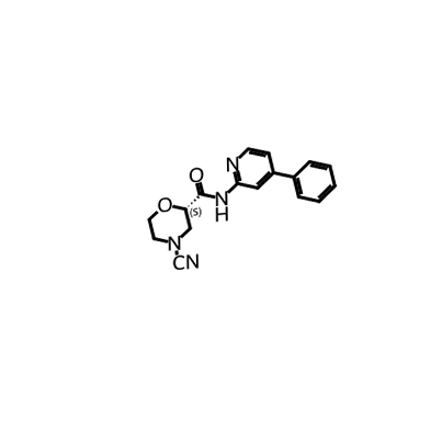 N#CN1CCO[C@H](C(=O)Nc2cc(-c3ccccc3)ccn2)C1